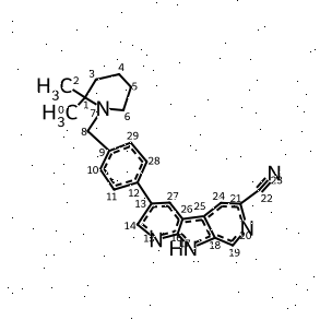 CC1(C)CCCCN1Cc1ccc(-c2cnc3[nH]c4cnc(C#N)cc4c3c2)cc1